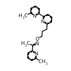 C/C(=N\OCCCc1cccc(-c2cccc(C)n2)n1)c1cccc(C)n1